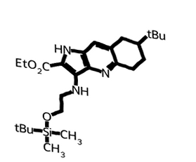 CCOC(=O)c1[nH]c2cc3c(nc2c1NCCO[Si](C)(C)C(C)(C)C)CCC(C(C)(C)C)C3